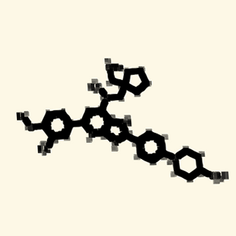 CCOc1ccc(-c2cc(N(C)CC3(COC)CCCC3)c3[nH]c(-c4ccc(N5CCC(C(=O)O)CC5)cc4)nc3n2)cc1C(F)(F)F